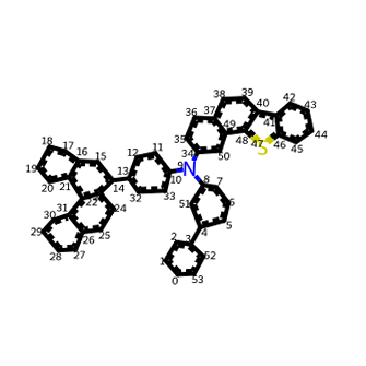 c1ccc(-c2cccc(N(c3ccc(-c4cc5ccccc5c5c4ccc4ccccc45)cc3)c3ccc4ccc5c6ccccc6sc5c4c3)c2)cc1